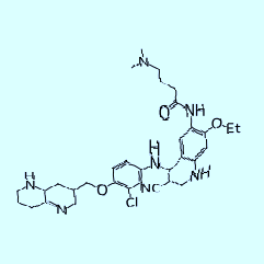 CCOc1cc2c(cc1NC(=O)CCCN(C)C)C(Nc1ccc(OCC3CN=C4CCCNC4C3)c(Cl)c1)C(C#N)CN2